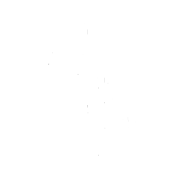 CCC(C)(C)C(C)(CC)CC(C)(C)C(C)F